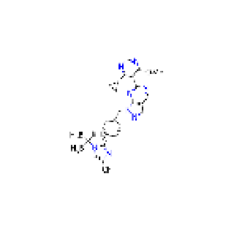 BC(B)(B)n1cc(C(F)(F)F)nc1-c1ccc(Cn2ncc3cnc(-c4c(OC)ncnc4C4CC4)nc32)cc1